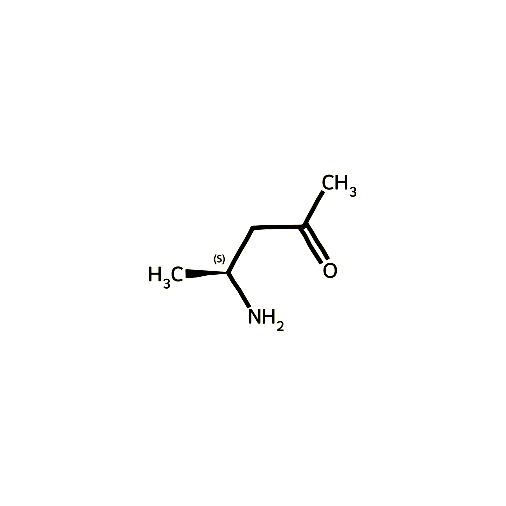 CC(=O)C[C@H](C)N